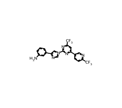 Nc1cccc(-c2cn(-c3nc(-c4ccc(C(F)(F)F)nc4)cc(C(F)(F)F)n3)cn2)c1